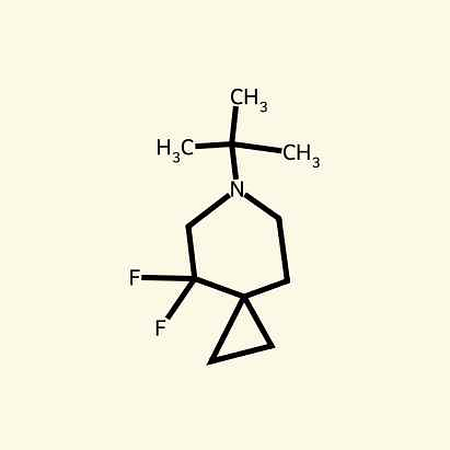 CC(C)(C)N1CCC2(CC2)C(F)(F)C1